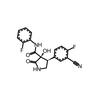 N#Cc1cc([C@H]2CNC(=O)[C@]2(O)C(=O)Nc2ccccc2F)ccc1F